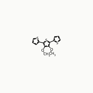 COc1c(-c2cccs2)sc(-c2cccs2)c1OC